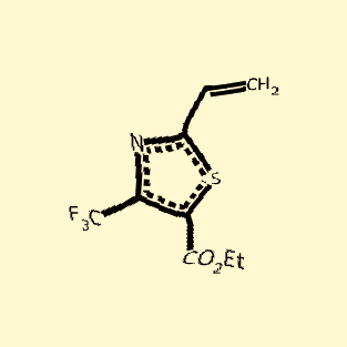 C=Cc1nc(C(F)(F)F)c(C(=O)OCC)s1